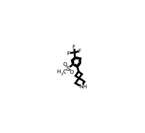 CS(=O)(=O)c1cc(C(F)(F)F)ccc1C1CC2(CNC2)C1